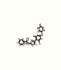 Cc1cnc(Sc2cc(C)c(-c3csc(NC(=O)c4ccccc4)n3)c(C)c2)cn1